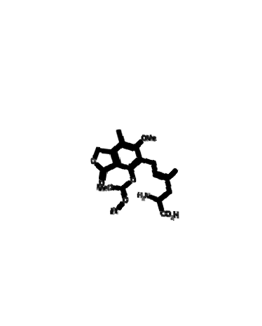 CCOC(OC)Oc1c(C/C=C(\C)CC(N)C(=O)O)c(OC)c(C)c2c1C(=O)OC2